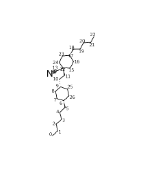 CCCCCC[C@H]1CC[C@H](CC[C@]2(C#N)CC[C@H](CCCCC)CC2)CC1